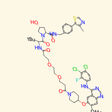 COc1cc2ncnc(Nc3ccc(Cl)c(Cl)c3F)c2cc1OC1CCN(C(=O)CCOCCOCCC(=O)NC(C(=O)N2C[C@H](O)C[C@H]2C(=O)NCc2ccc(-c3scnc3C)cc2)C(C)(C)C)CC1